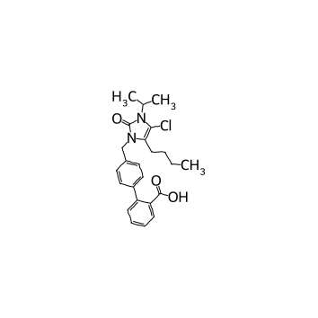 CCCCc1c(Cl)n(C(C)C)c(=O)n1Cc1ccc(-c2ccccc2C(=O)O)cc1